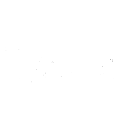 Cc1ccc(-c2nccs2)cc1-c1ccc(NS(=O)(=O)c2ccc(F)cc2F)cc1